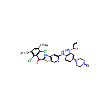 C=CC(=O)Nc1cc(N2CCN(CC)CC2)ccc1Nc1cc2nc(C(=O)c3c(Cl)c(OC)cc(OC)c3Cl)sc2cn1